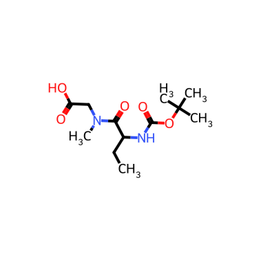 CCC(NC(=O)OC(C)(C)C)C(=O)N(C)CC(=O)O